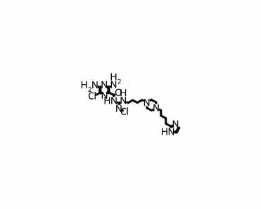 Nc1nc(N)c(C(=O)N/C(=N/Cl)NCCCCN2CCN(CCCCc3ncc[nH]3)CC2)nc1Cl